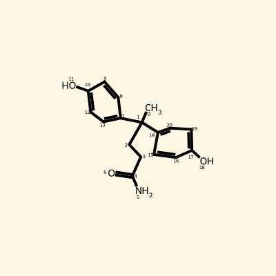 CC(CCC(N)=O)(c1ccc(O)cc1)c1ccc(O)cc1